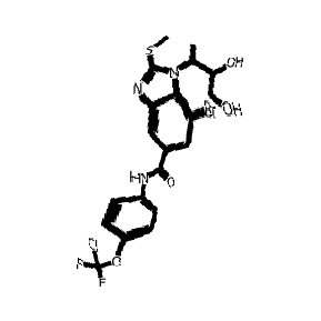 CSc1nc2cc(C(=O)Nc3ccc(OC(F)(F)Cl)cc3)cc(Br)c2n1C(C)C(O)CO